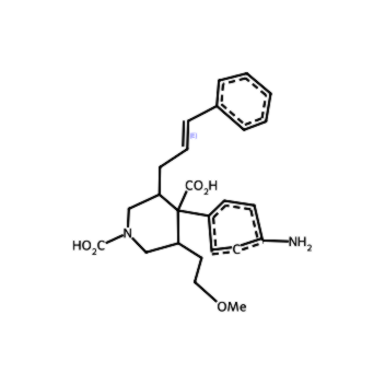 COCCC1CN(C(=O)O)CC(C/C=C/c2ccccc2)C1(C(=O)O)c1ccc(N)cc1